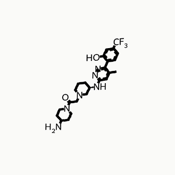 Cc1cc(N[C@@H]2CCCN(CC(=O)N3CCC(N)CC3)C2)nnc1-c1ccc(C(F)(F)F)cc1O